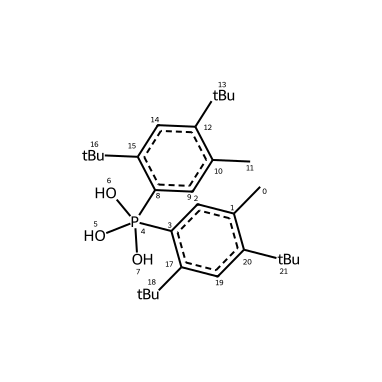 Cc1cc(P(O)(O)(O)c2cc(C)c(C(C)(C)C)cc2C(C)(C)C)c(C(C)(C)C)cc1C(C)(C)C